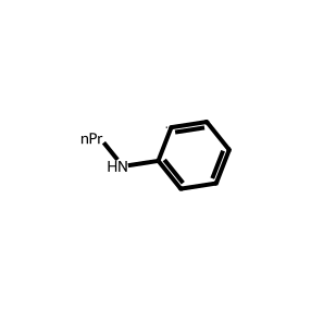 CCCNc1[c]cccc1